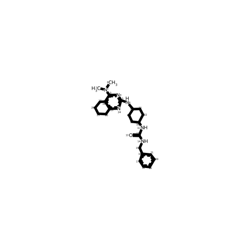 CN(C)c1nc(NC2CCC(NC(=O)NCc3ccccc3)CC2)nc2c1CCCC2